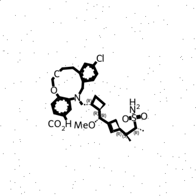 CO[C@@H](C1=C[C@H]([C@H](C)[C@@H](C)S(N)(=O)=O)C1)[C@@H]1CC[C@H]1CN1Cc2ccc(Cl)cc2CCCCOc2ccc(C(=O)O)cc21